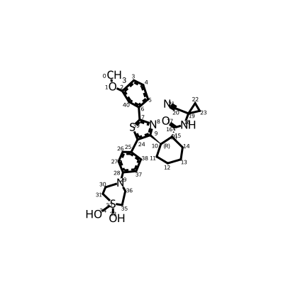 COc1cccc(-c2nc([C@@H]3CCCC[C@H]3C(=O)NC3(C#N)CC3)c(-c3ccc(N4CCS(O)(O)CC4)cc3)s2)c1